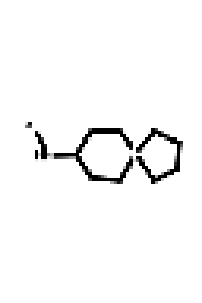 CC(C)NC1CC[Si]2(CCCC2)CC1